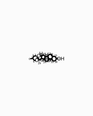 CC1CC[C@@]2(OC1)O[C@H]1CC3[C@@H]4CC=C5C[C@@H](O)CC[C@]5(C)[C@H]4CC[C@]3(C)C1[C@@H]2C